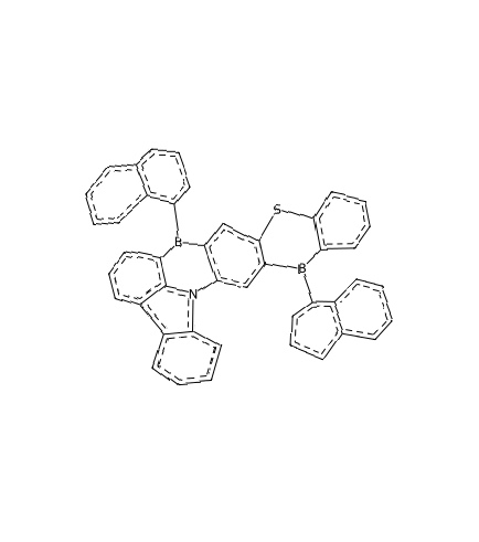 c1ccc2c(c1)Sc1cc3c(cc1B2c1cccc2ccccc12)-n1c2ccccc2c2cccc(c21)B3c1cccc2ccccc12